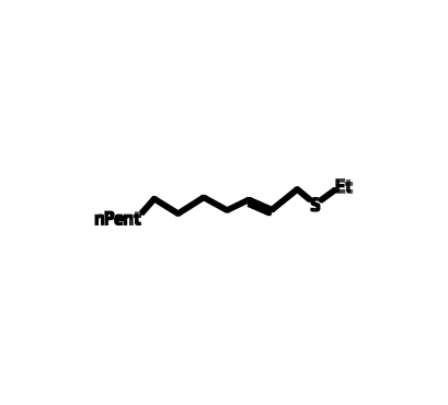 CCCCCCCCCC=CCSCC